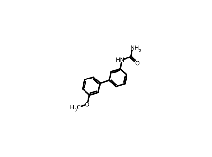 COc1cccc(-c2cccc(NC(N)=O)c2)c1